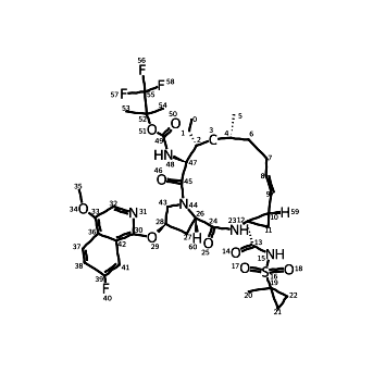 CC[C@@H]1C[C@H](C)CC/C=C/[C@@H]2C[C@@]2(C(=O)NS(=O)(=O)C2(C)CC2)NC(=O)[C@@H]2C[C@@H](Oc3ncc(OC)c4ccc(F)cc34)CN2C(=O)[C@H]1NC(=O)OC(C)(C)C(F)(F)F